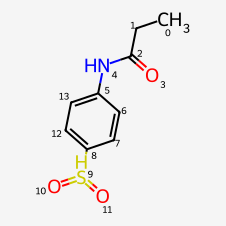 CCC(=O)Nc1ccc([SH](=O)=O)cc1